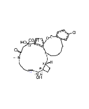 CN1CC/C=C/[C@H](O)[C@@H]2CC[C@H]2CN2CCCCc3cc(Cl)ccc3COc3ccc(cc32)[C@](O)(C(=O)O)CC1=O